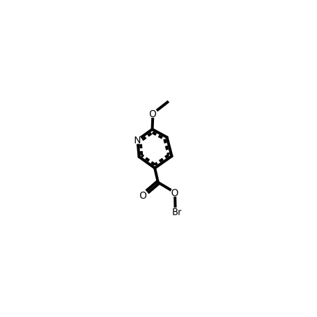 COc1ccc(C(=O)OBr)cn1